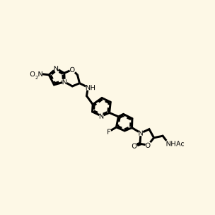 CC(=O)NCC1CN(c2ccc(-c3ccc(CNC4COc5nc([N+](=O)[O-])cn5C4)cn3)c(F)c2)C(=O)O1